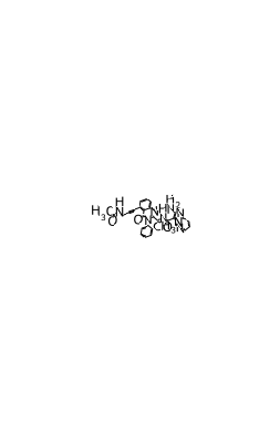 CC(=O)NCC#Cc1cccc2nc(C(C)NC(=O)c3c(N)nc4cccnn34)n(-c3ccccc3)c(=O)c12